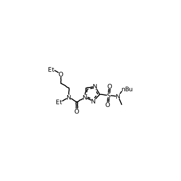 CCCCN(C)S(=O)(=O)c1ncn(C(=O)N(CC)CCOCC)n1